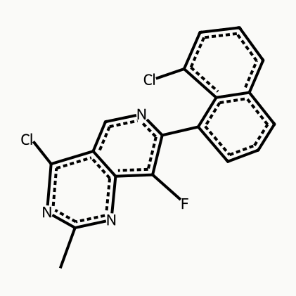 Cc1nc(Cl)c2cnc(-c3cccc4cccc(Cl)c34)c(F)c2n1